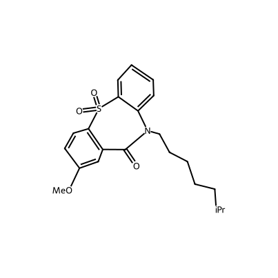 COc1ccc2c(c1)C(=O)N(CCCCCC(C)C)c1ccccc1S2(=O)=O